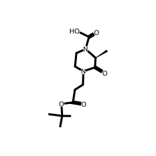 C[C@H]1C(=O)N(CCC(=O)OC(C)(C)C)CCN1C(=O)O